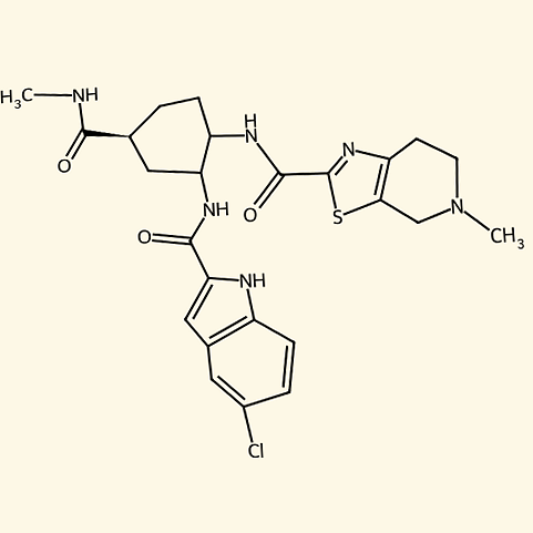 CNC(=O)[C@H]1CCC(NC(=O)c2nc3c(s2)CN(C)CC3)C(NC(=O)c2cc3cc(Cl)ccc3[nH]2)C1